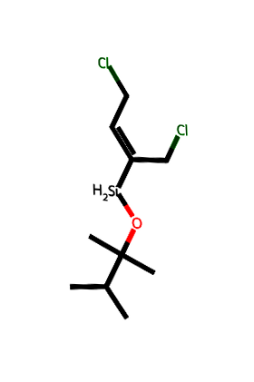 CC(C)C(C)(C)O[SiH2]C(=CCCl)CCl